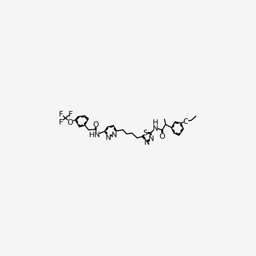 CCCc1cccc(C(C)C(=O)Nc2nnc(CCCCc3ccc(NC(=O)Cc4cccc(OC(F)(F)F)c4)nn3)s2)c1